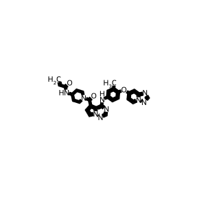 C=CC(=O)NC1CCN(C(=O)c2ccn3ncnc(Nc4ccc(Oc5ccn6ncnc6c5)c(C)c4)c23)CC1